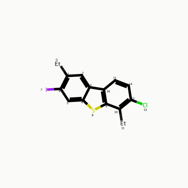 CCc1cc2c(cc1I)sc1c(CC)c(Cl)ccc12